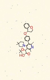 Cc1nc(C)c(C(OC(C)(C)C)C(=O)O)c(N2CCC(C)(C)CC2)c1-c1ccc(OC2CCOc3ccccc32)cc1